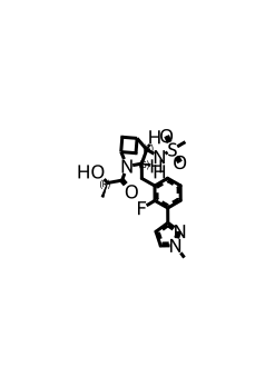 C[C@@H](O)C(=O)N1C2CC(C2)[C@H](NS(C)(=O)=O)[C@@H]1Cc1cccc(-c2ccn(C)n2)c1F